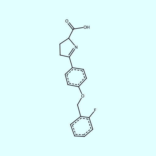 O=C(O)C1CCC(c2ccc(OCc3ccccc3F)cc2)=N1